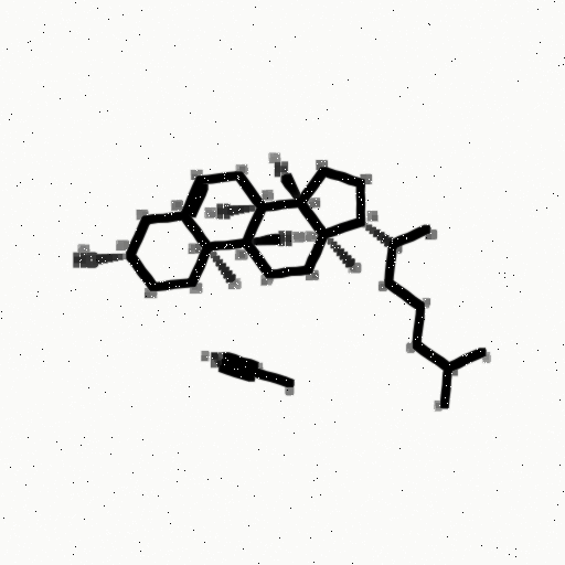 CC#N.CC(C)CCCC(C)[C@H]1CC[C@H]2[C@@H]3CC=C4C[C@@H](O)CC[C@]4(C)[C@H]3CC[C@]12C